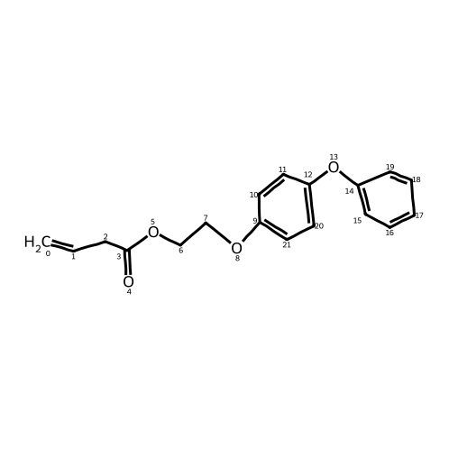 C=CCC(=O)OCCOc1ccc(Oc2ccccc2)cc1